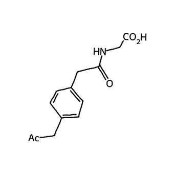 CC(=O)Cc1ccc(CC(=O)NCC(=O)O)cc1